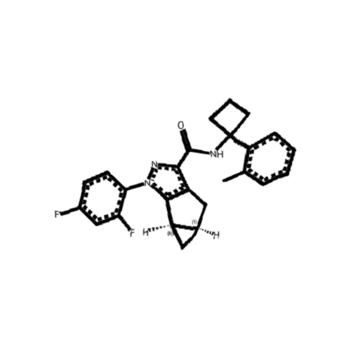 Cc1ccccc1C1(NC(=O)c2nn(-c3ccc(F)cc3F)c3c2C[C@H]2C[C@@H]32)CCC1